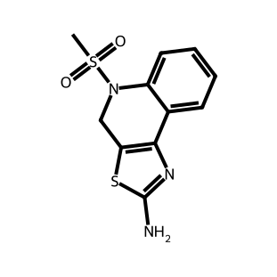 CS(=O)(=O)N1Cc2sc(N)nc2-c2ccccc21